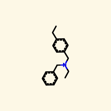 CCc1ccc(CN(CC)Cc2ccccc2)cc1